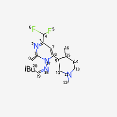 C=C1N=C(C(F)F)C=C(C2CN(C)CCC2C)N1/N=C\C(C)CC